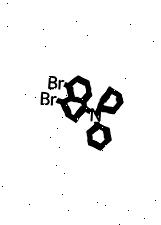 Brc1cccc2c(N(c3ccccc3)c3ccccc3)ccc(Br)c12